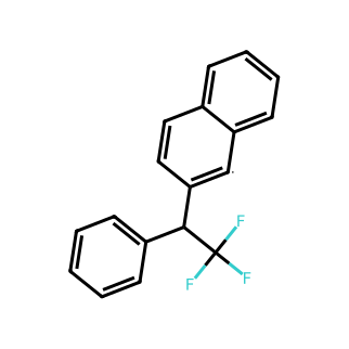 FC(F)(F)C(c1[c]c2ccccc2cc1)c1ccccc1